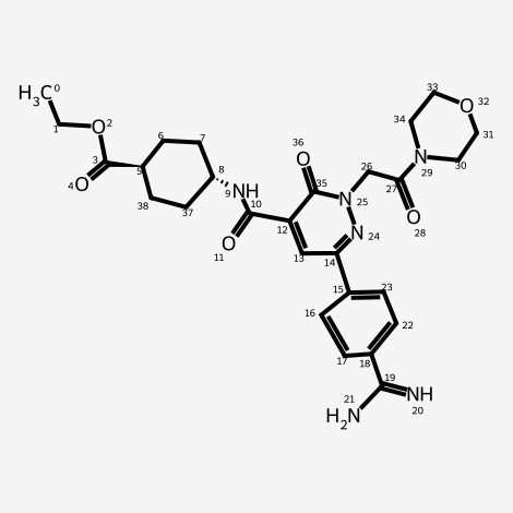 CCOC(=O)[C@H]1CC[C@H](NC(=O)c2cc(-c3ccc(C(=N)N)cc3)nn(CC(=O)N3CCOCC3)c2=O)CC1